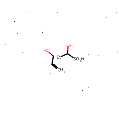 C=CC[O].CCC(O)S(=O)(=O)O